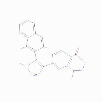 CCc1n[nH]c(=O)c2ccc(-c3cnn(C)c3-c3c(Cl)cc4ccccc4c3C#N)cc12